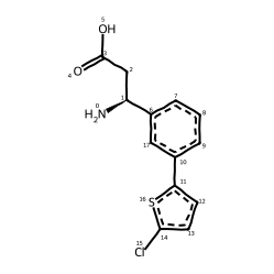 N[C@@H](CC(=O)O)c1cccc(-c2ccc(Cl)s2)c1